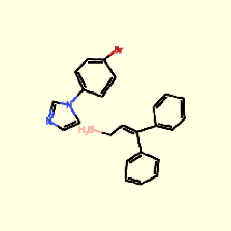 BCC=C(c1ccccc1)c1ccccc1.Brc1ccc(-n2ccnc2)cc1